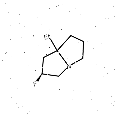 CCC12CCCN1C[C@@H](F)C2